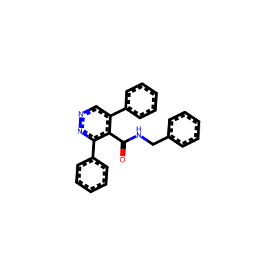 O=C(NCc1ccccc1)c1c(-c2ccccc2)cnnc1-c1ccccc1